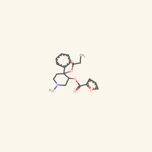 CCC(=O)OC1(c2ccccc2)CCN(C)CC1OC(=O)c1ccco1